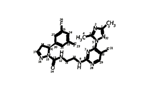 Cc1nc(C)n(-c2nc(NCCNC(=O)N3N=CC[C@H]3c3cc(F)cc(F)c3)ncc2F)n1